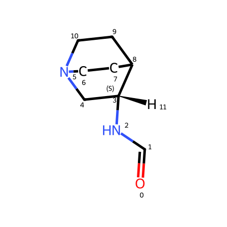 O=CN[C@@H]1CN2CCC1CC2